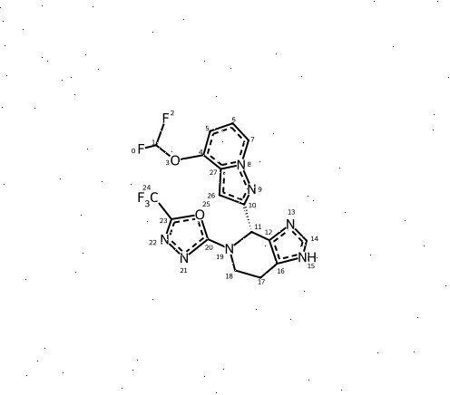 FC(F)Oc1cccn2nc([C@@H]3c4nc[nH]c4CCN3c3nnc(C(F)(F)F)o3)cc12